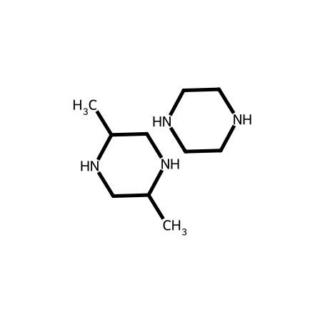 C1CNCCN1.CC1CNC(C)CN1